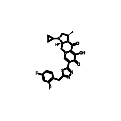 C[C@H]1CN(C2CC2)[C@@H]2Cn3cc(-c4nnc(Cc5ccc(F)cc5F)s4)c(=O)c(O)c3C(=O)N12